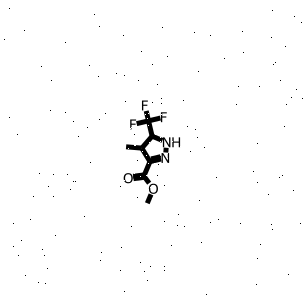 COC(=O)C1=NNC(C(F)(F)F)C1C